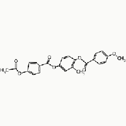 COc1ccc(C(=O)Oc2ccc(OC(=O)c3ccc(OC(C)=O)cc3)cc2C)cc1